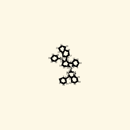 c1ccc(-c2nc(-n3c4ccccc4c4c5c6ccc7ccccc7c6n(-c6ccccc6)c5ccc43)nc3ccccc23)cc1